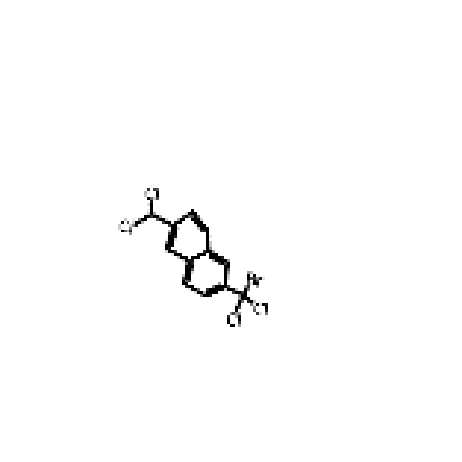 ClC(Cl)c1ccc2cc(C(Cl)(Cl)Br)ccc2c1